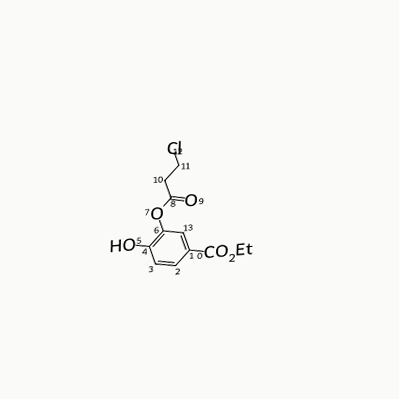 CCOC(=O)c1ccc(O)c(OC(=O)CCCl)c1